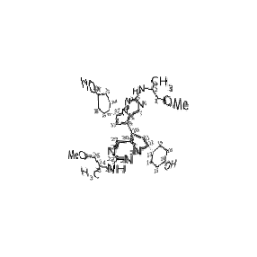 COC[C@H](C)Nc1ncc2c(-c3cc([C@H]4CC[C@H](O)CC4)n4nc(N[C@@H](C)COC)ncc34)cc([C@H]3CC[C@H](O)CC3)n2n1